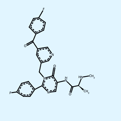 CN[C@@H](C)C(=O)Nc1cnc(-c2ccc(F)cc2)n(Cc2cncc(C(=O)c3ccc(F)cc3)c2)c1=O